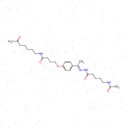 CC(=O)CCCCCNC(=O)CCCOc1ccc(/C(C)=N/NC(=O)CCCCNC(C)=O)cc1